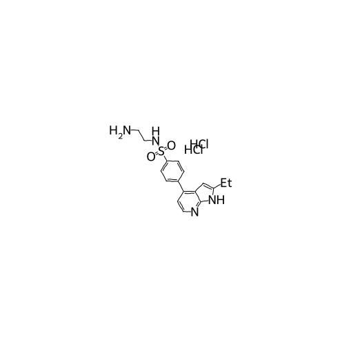 CCc1cc2c(-c3ccc(S(=O)(=O)NCCN)cc3)ccnc2[nH]1.Cl.Cl